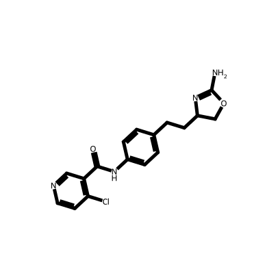 NC1=NC(CCc2ccc(NC(=O)c3cnccc3Cl)cc2)CO1